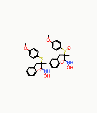 COc1ccc(SC(C)(Cc2ccccc2)C(=O)NO)cc1.COc1ccc([S+]([O-])C(C)(Cc2ccccc2)C(=O)NO)cc1